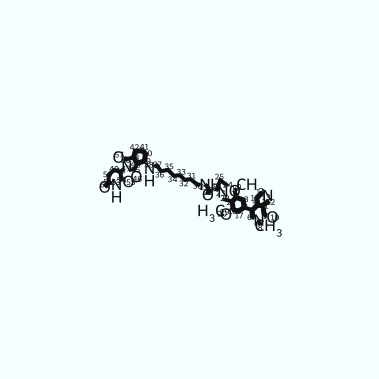 COc1cc(-c2cn(C)c(=O)c3cnccc23)cc(OC)c1CN1CC[C@H]1C(=O)NCCCCCCCCNc1cccc2c1C(=O)N(C1CCC(=O)NC1=O)C2=O